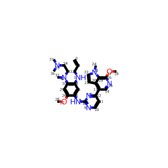 C=CCNc1cc(Nc2nccc(-c3cnc(OC)c4c3ccn4C)n2)c(OC)cc1N(C)CCN(C)C